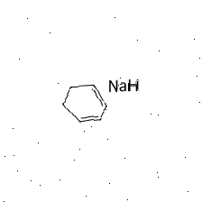 C1=CCCC=C1.[NaH]